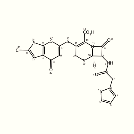 O=C(Cc1cccs1)NC1C(=O)N2C(C(=O)O)=C(Sc3cc(=O)c4cc(Cl)sc4s3)CS[C@H]12